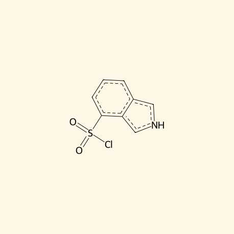 O=S(=O)(Cl)c1cccc2c[nH]cc12